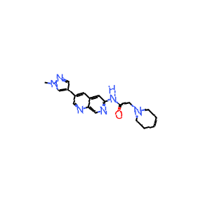 Cn1cc(-c2cnc3cnc(NC(=O)CN4CCCCC4)cc3c2)cn1